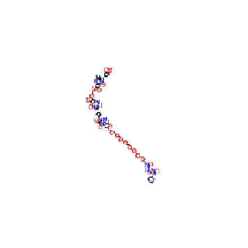 COc1cc2c(cc1OCCCOc1cc3c(cc1OC)C(=O)N1C=C(c4ccc5c(c4)OCO5)C[C@H]1C=N3)N=C[C@@H]1CC(c3ccc(NC(=O)[C@H](C)NC(=O)C(CC(=O)CCOCCOCCOCCOCCOCCOCCOCCOCCNC(=O)CCN4C(=O)CC(C5=C/C=C\C=C/C=C\5)C4=O)C(C)C)cc3)=CN1C2=O